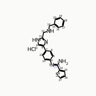 Cl.N/C(=N\c1ccc(-c2c[nH]c(CNCc3ccccc3)n2)cc1)c1cccs1